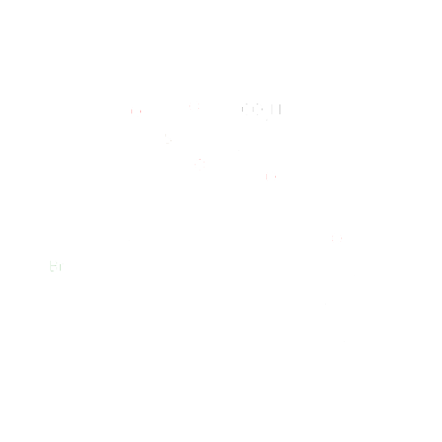 O=C(O)C(Oc1cccc2c1OC1CCCC21)OS(=O)(=O)c1ccc(Br)cc1